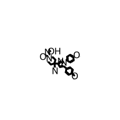 COc1ccc(-c2cc(C3(C#N)CCN(C(=O)N(C)O)CC3)nn2-c2ccc(OC)cc2)cc1